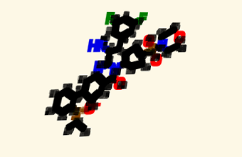 CNC(Cc1cc(F)cc(F)c1)c1nc2cc(-c3ccccc3[S+]([O-])C(C)C)ccc2c(=O)n1-c1ccc(S(=O)(=O)N2CCOCC2)cc1